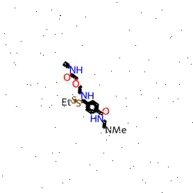 C#CNC(=O)COCCNC(SSCC)c1ccc(C(=O)NCCNC)cc1